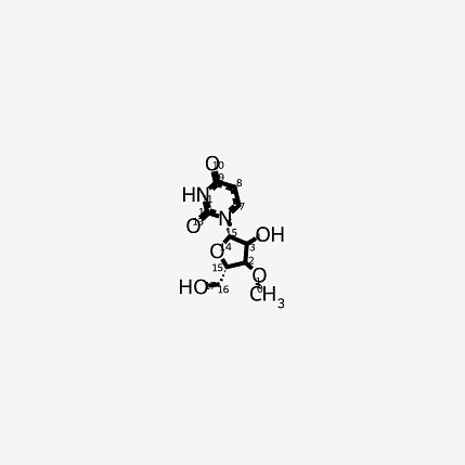 COC1C(O)[C@@H](n2ccc(=O)[nH]c2=O)O[C@H]1CO